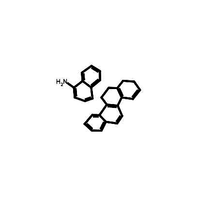 C1=CC2=C(CC1)CCc1c2ccc2ccccc12.Nc1cccc2ccccc12